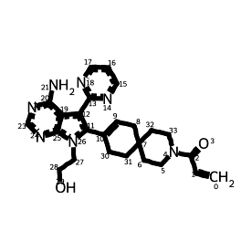 C=CC(=O)N1CCC2(CC=C(c3c(-c4ncccn4)c4c(N)ncnc4n3CCO)CC2)CC1